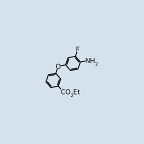 CCOC(=O)c1cccc(Oc2ccc(N)c(F)c2)c1